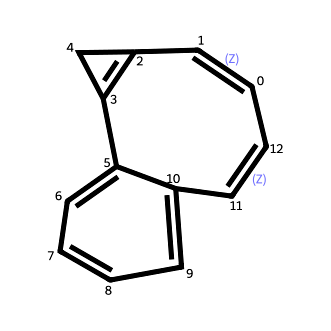 C1=C\C2=C(C2)c2ccccc2\C=C/1